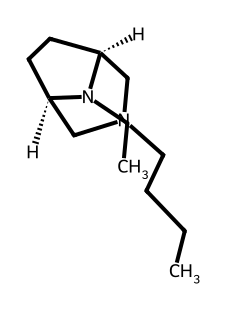 CCCCN1C[C@H]2CC[C@@H](C1)N2CC